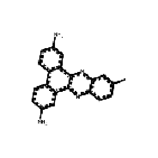 Cc1ccc2nc3c4cc(N)ccc4c4ccc(N)cc4c3nc2c1